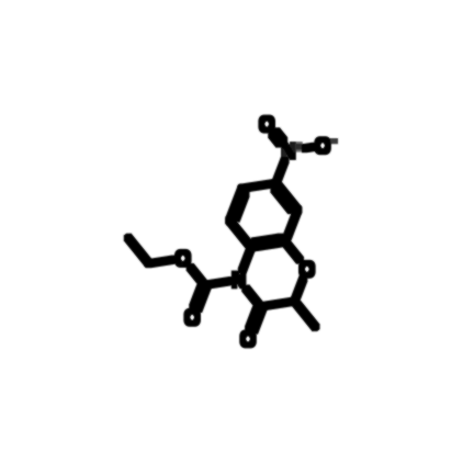 CCOC(=O)N1C(=O)C(C)Oc2cc([N+](=O)[O-])ccc21